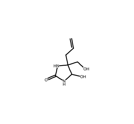 C=CCC1(CO)NC(=O)NC1O